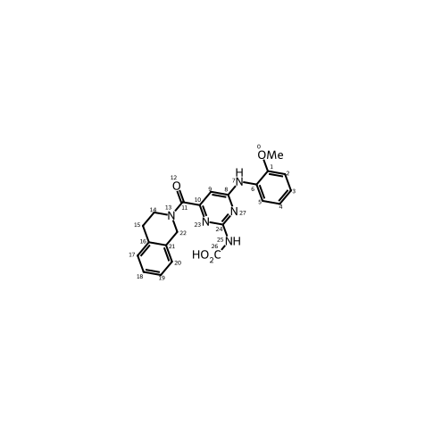 COc1ccccc1Nc1cc(C(=O)N2CCc3ccccc3C2)nc(NC(=O)O)n1